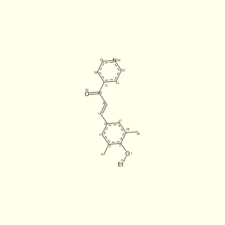 CCOc1c(C)cc(/C=C/C(=O)c2ccncc2)cc1C